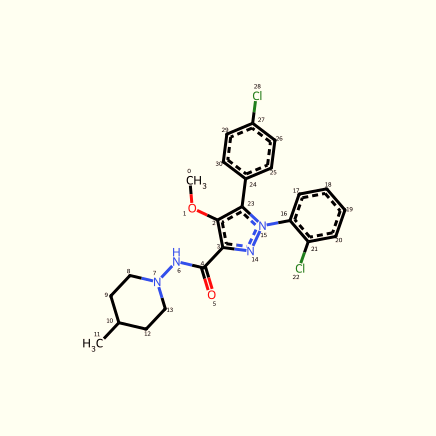 COc1c(C(=O)NN2CCC(C)CC2)nn(-c2ccccc2Cl)c1-c1ccc(Cl)cc1